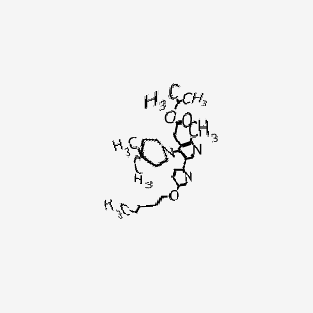 CCCCCOc1ccc(-c2cnc(C)c(CC(=O)OC(C)C)c2N2CCC(C)(C)CC2)nc1